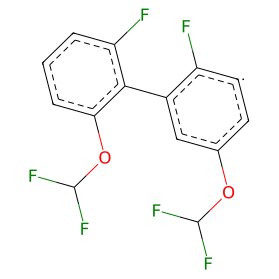 Fc1[c]cc(OC(F)F)cc1-c1c(F)cccc1OC(F)F